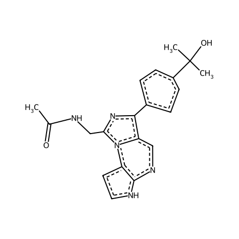 CC(=O)NCc1nc(-c2ccc(C(C)(C)O)cc2)c2cnc3[nH]ccc3n12